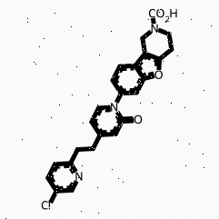 O=C(O)N1CCc2oc3cc(-n4ccc(CCc5ccc(Cl)cn5)cc4=O)ccc3c2C1